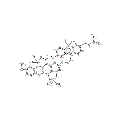 COc1ccc(COC2CC(C)(C)Cc3nc(C4CCN(c5ncc(COC(C)C)cn5)CC4)c(C(F)c4ccc(C(F)(F)F)cc4)c(C4CCC(F)(F)CC4)c32)cc1